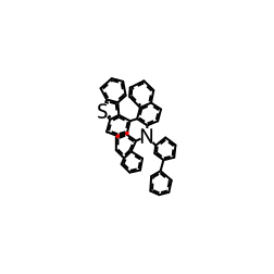 c1ccc(-c2cccc(N(c3ccc4ccccc4c3-c3cccc4sc5ccccc5c34)c3cccc4ccccc34)c2)cc1